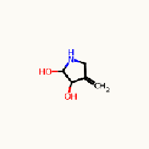 C=C1CNC(O)C1O